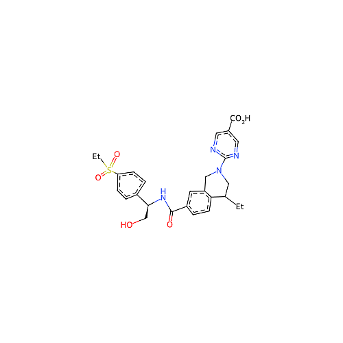 CCC1CN(c2ncc(C(=O)O)cn2)Cc2cc(C(=O)N[C@@H](CO)c3ccc(S(=O)(=O)CC)cc3)ccc21